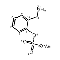 COS(=O)(=O)Oc1ccccc1CN